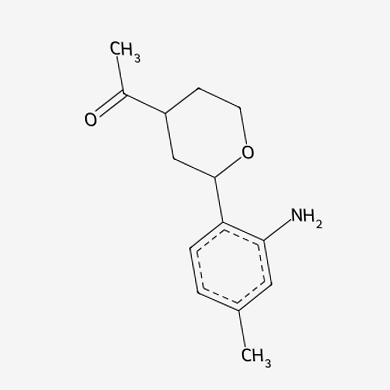 CC(=O)C1CCOC(c2ccc(C)cc2N)C1